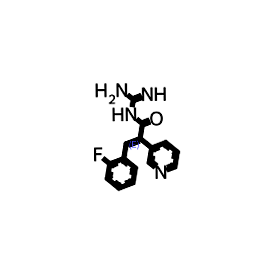 N=C(N)NC(=O)/C(=C/c1ccccc1F)c1cccnc1